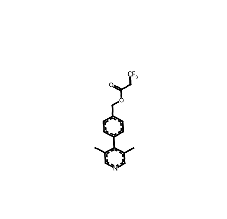 Cc1cncc(C)c1-c1ccc(COC(=O)CC(F)(F)F)cc1